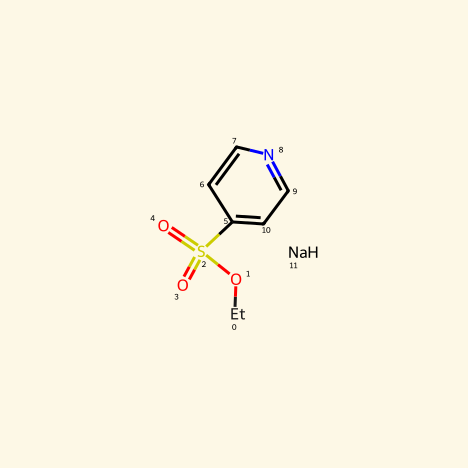 CCOS(=O)(=O)c1ccncc1.[NaH]